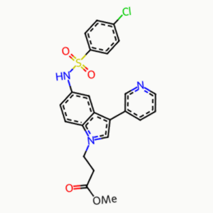 COC(=O)CCn1cc(-c2cccnc2)c2cc(NS(=O)(=O)c3ccc(Cl)cc3)ccc21